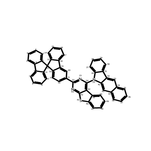 c1ccc2c(c1)-c1ccccc1C21c2ccccc2-c2cc(-c3nc(-n4c5ccccc5c5cc6ccccc6cc54)c4c(n3)sc3ccccc34)ccc21